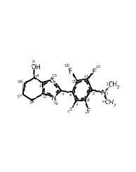 CN(C)c1c(F)c(F)c(-c2nc3c(s2)C(O)CCC3)c(F)c1F